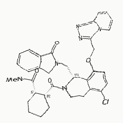 CNC(=O)[C@H]1CCCC[C@H]1C(=O)N1CCc2c(Cl)ccc(OCc3nnc4ccccn34)c2[C@H]1CN1Cc2ccccc2C1=O